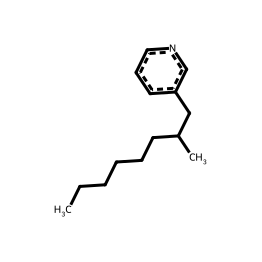 CCCCCCC(C)Cc1cccnc1